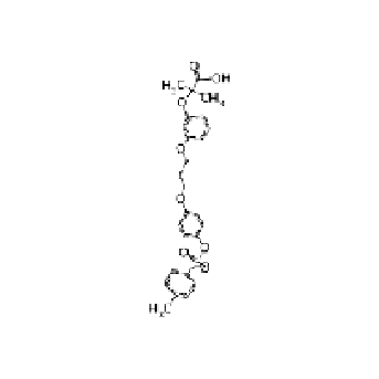 Cc1ccc(S(=O)(=O)Oc2ccc(OCCCOc3cccc(OC(C)(C)C(=O)O)c3)cc2)cc1